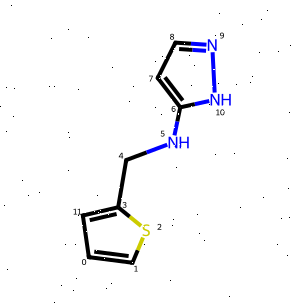 c1csc(CNc2ccn[nH]2)c1